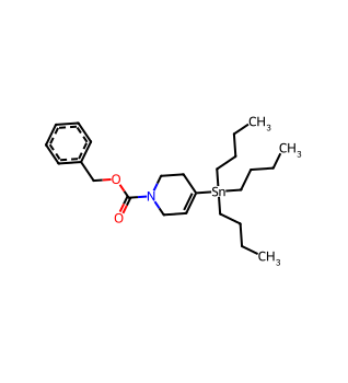 CCC[CH2][Sn]([CH2]CCC)([CH2]CCC)[C]1=CCN(C(=O)OCc2ccccc2)CC1